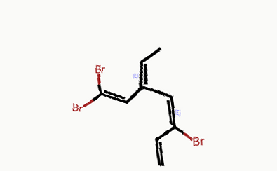 C=C/C(Br)=C\C(C=C(Br)Br)=C/C